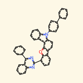 c1ccc(-c2ccc(-n3c4ccccc4c4c5oc6c(-c7nc(-c8ccccc8)c8ccccc8n7)cccc6c5ccc43)cc2)cc1